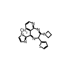 Cn1ccnc1C1=NC(c2cccs2)C(N2CCC2)=Nc2ncccc21